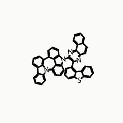 c1ccc2c(c1)ccc1nc(-c3cccc4sc5ccccc5c34)c(-n3c4cccc5c6cccc7c8ccccc8n(c8cccc3c8c54)c67)nc12